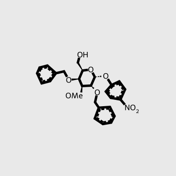 CO[C@H]1[C@@H](OCc2ccccc2)[C@@H](CO)O[C@H](Oc2ccc([N+](=O)[O-])cc2)[C@@H]1OCc1ccccc1